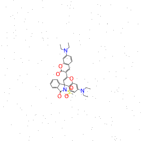 CCN(CC)c1ccc2c(c1)OC(c1cc3ccc(N(CC)CC)cc3oc1=O)=CC21c2ccccc2C(=O)N1S(C)(=O)=O